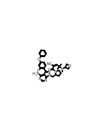 CN(C1COC1)C(C)(C)/C=C(/C#N)C(=O)N1CCCC1Cn1nc(-c2ccc(Oc3ccccc3)cc2F)c2c(N)ncnc21